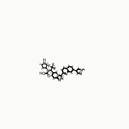 Cn1cc(-c2ccc3ccc(-c4nnc5ccc(C(N(C(=O)O)C6CCNC6)C(F)(F)F)cn45)nc3c2)cn1